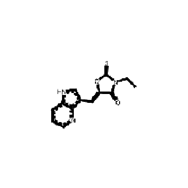 CCN1C(=O)/C(=C/c2c[nH]c3cccnc23)OC1=S